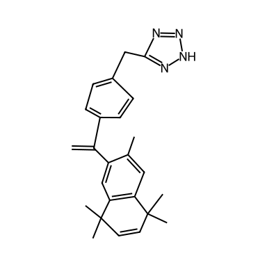 C=C(c1ccc(Cc2nn[nH]n2)cc1)c1cc2c(cc1C)C(C)(C)C=CC2(C)C